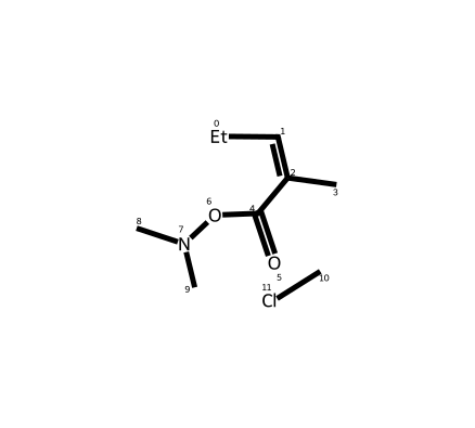 CCC=C(C)C(=O)ON(C)C.CCl